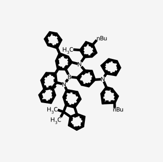 CCCCc1ccc(N(c2ccccc2)c2ccc3c(c2)N(c2ccc(CCCC)cc2C)c2cc(-c4ccccc4)cc4c2B3N(c2ccc3c(c2)C(C)(C)c2ccccc2-3)c2c-4ccc3ccccc23)cc1